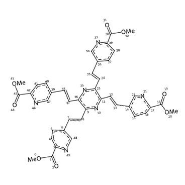 COC(=O)c1ccc(C=Cc2nc(C=Cc3ccc(C(=O)OC)nc3)c(C=Cc3ccc(C(=O)OC)nc3)nc2C=Cc2ccc(C(=O)OC)nc2)cn1